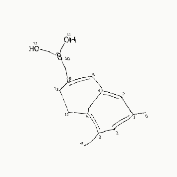 Cc1cc(C)c2c(c1)C=C(B(O)O)CC2